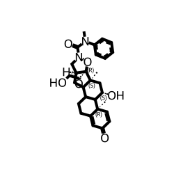 CN(C(=O)N1C[C@@H]2CC3C4CCC5=CC(=O)C=C[C@]5(C)C4[C@@H](O)C[C@]3(C)[C@]2(C(=O)CO)O1)c1ccccc1